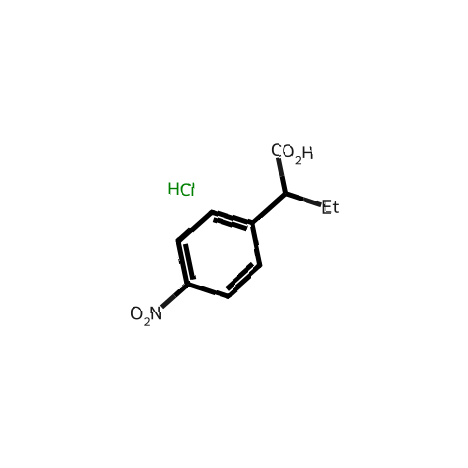 CCC(C(=O)O)c1ccc([N+](=O)[O-])cc1.Cl